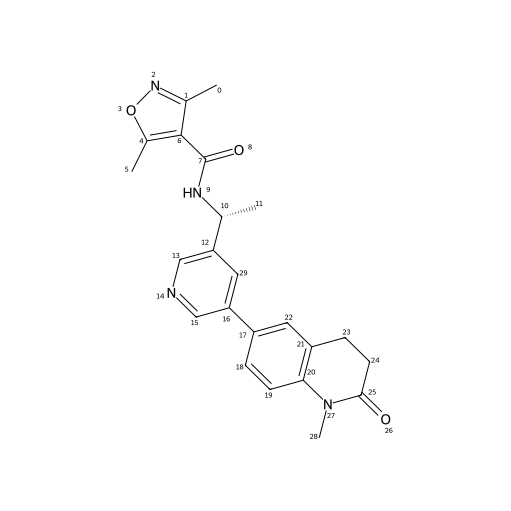 Cc1noc(C)c1C(=O)N[C@H](C)c1cncc(-c2ccc3c(c2)CCC(=O)N3C)c1